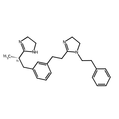 C[C@@H](Cc1cccc(CCC2=NCCN2CCc2ccccc2)c1)C1=NCCN1